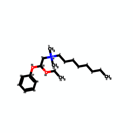 CCCCCCCC[N+](C)(C)CC(OCC)Oc1ccccc1